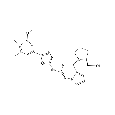 COc1cc(-c2nnc(Nc3nc(N4CCC[C@H]4CO)c4cccn4n3)o2)cc(C)c1C